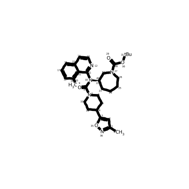 Cc1cc(C2CCN(C(=O)N(c3nccc4cccc(C)c34)[C@@H]3CCCCN(C(=O)OC(C)(C)C)C3)CC2)on1